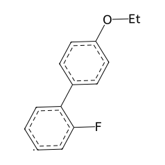 CCOc1ccc(-c2cc[c]cc2F)cc1